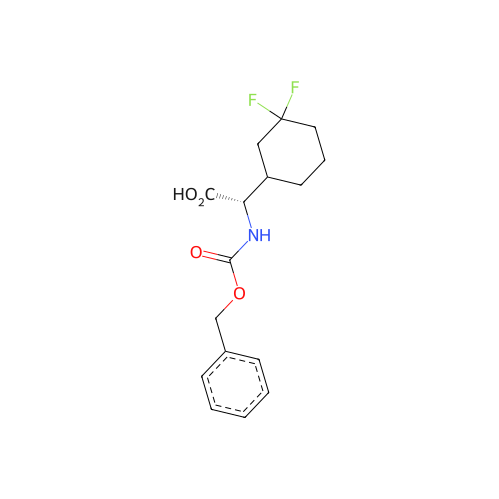 O=C(N[C@H](C(=O)O)C1CCCC(F)(F)C1)OCc1ccccc1